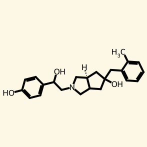 Cc1ccccc1CC1(O)CC2CN(CC(O)c3ccc(O)cc3)C[C@H]2C1